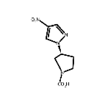 O=C(O)N1CC[C@H](n2cc([N+](=O)[O-])cn2)C1